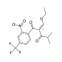 CCO/C=C(\C(=O)c1ccc(C(F)(F)F)cc1[N+](=O)[O-])C(=O)C(C)C